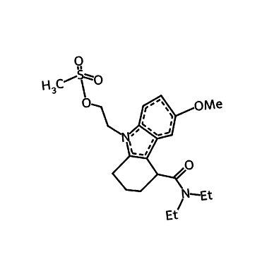 CCN(CC)C(=O)C1CCCc2c1c1cc(OC)ccc1n2CCOS(C)(=O)=O